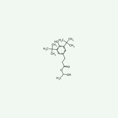 CC(O)OC(=O)CCc1cc(C(C)(C)C)c(O)c(C(C)(C)C)c1